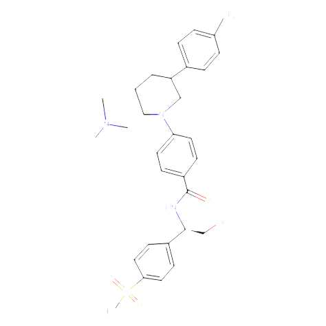 CCS(=O)(=O)c1ccc([C@H](CO)NC(=O)c2ccc(N3CC(c4ccc(C(F)(F)F)cc4)CC[C@H]3CN(C)C)cc2)cc1